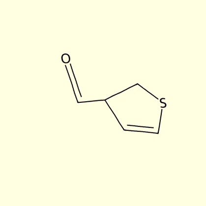 O=CC1C=CSC1